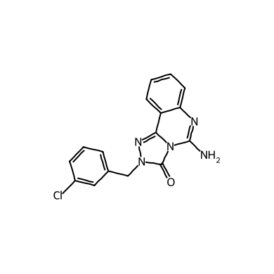 Nc1nc2ccccc2c2nn(Cc3cccc(Cl)c3)c(=O)n12